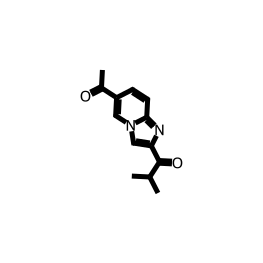 CC(=O)c1ccc2nc(C(=O)C(C)C)cn2c1